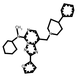 CN(c1ncc(CN2CCC(c3ccccc3)CC2)c2nc(-c3ccco3)nn12)C1CCCCC1